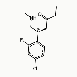 CCC(=O)C[C@H](CNC)c1ccc(Cl)cc1F